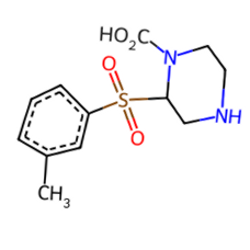 Cc1cccc(S(=O)(=O)C2CNCCN2C(=O)O)c1